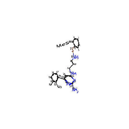 CSc1ccccc1SNCCCNc1cc(-c2cccc(C)c2C)nc(N)n1